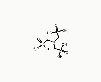 NP(=O)(O)CN(CP(=O)(O)O)CP(=O)(O)O